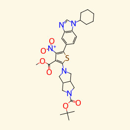 COC(=O)c1c(N2CC3CN(C(=O)OC(C)(C)C)CC3C2)sc(-c2ccc3c(c2)ncn3C2CCCCC2)c1[N+](=O)[O-]